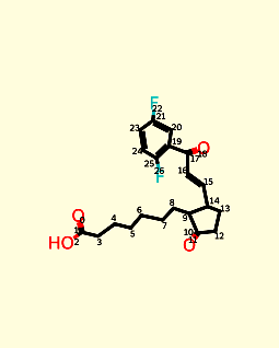 O=C(O)CCCCCCC1C(=O)CCC1C=CC(=O)c1cc(F)ccc1F